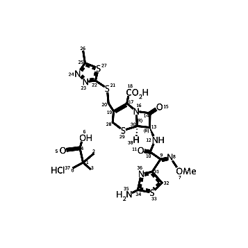 CC(C)(C)C(=O)O.CON=C(C(=O)N[C@@H]1C(=O)N2C(C(=O)O)=C(CSc3nnc(C)s3)CS[C@H]12)c1csc(N)n1.Cl